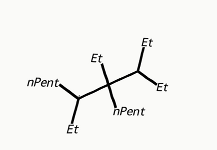 CCCCC[C](CC)C(CC)(CCCCC)C(CC)CC